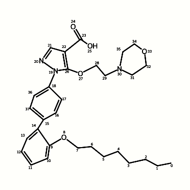 CCCCCCCCOc1ccccc1-c1ccc(-n2ncc(C(=O)O)c2OCCN2CCOCC2)cc1